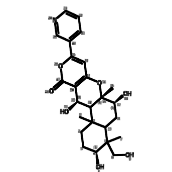 CC12CC[C@H](O)C(C)(CO)C1C[C@H](O)[C@@]1(C)Oc3cc(-c4cccnc4)oc(=O)c3[C@H](O)C21